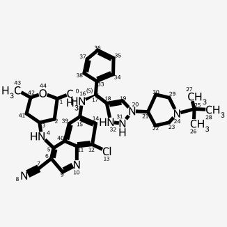 CC1CC(Nc2c(C#N)cnc3c(Cl)cc(N[C@H](C4=CN(C5CCN(C(C)(C)C)CC5)NN4)c4ccccc4)cc23)CC(C)O1